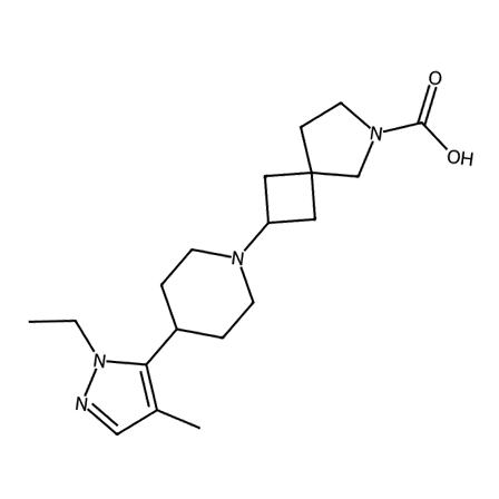 CCn1ncc(C)c1C1CCN(C2CC3(CCN(C(=O)O)C3)C2)CC1